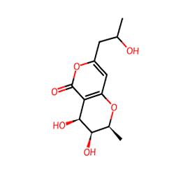 CC(O)Cc1cc2c(c(=O)o1)[C@H](O)[C@H](O)[C@H](C)O2